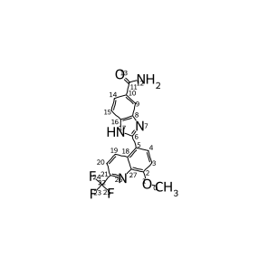 COc1ccc(-c2nc3cc(C(N)=O)ccc3[nH]2)c2ccc(C(F)(F)F)nc12